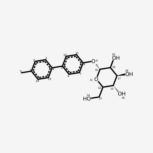 Cc1ccc(-c2ccc(O[C@H]3OC(CO)[C@@H](O)[C@H](O)C3O)cc2)cc1